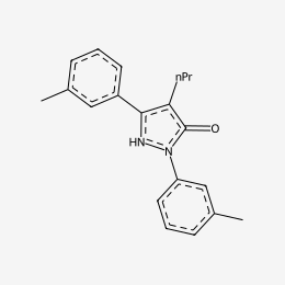 CCCc1c(-c2cccc(C)c2)[nH]n(-c2cccc(C)c2)c1=O